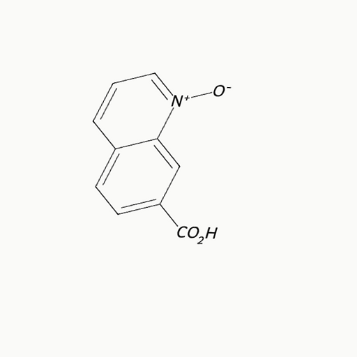 O=C(O)c1ccc2ccc[n+]([O-])c2c1